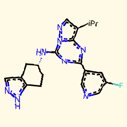 CC(C)c1cnn2c(N[C@@H]3CCc4[nH]ncc4C3)nc(-c3cncc(F)c3)nc12